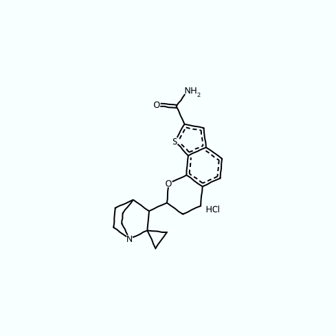 Cl.NC(=O)c1cc2ccc3c(c2s1)OC(C1C2CCN(CC2)C12CC2)CC3